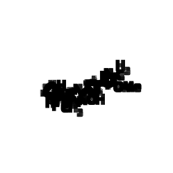 COc1cc(-c2ccc(-c3ncc(N(C)[C@H]4C[C@@H]5CCC[C@@H](N5)[C@H]4F)nn3)c(O)c2)nnc1C